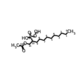 CCCCCCCCCCC(COC(C)=O)P(=O)(O)OO